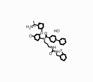 C[C@H](N)c1cccc(Oc2cc(Cl)ccc2N(CCCNC(=O)NCc2ccccc2F)C(=O)c2ccc(-c3ccccc3)cc2)c1.Cl